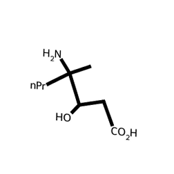 CCCC(C)(N)C(O)CC(=O)O